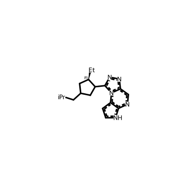 CC[C@@H]1CC(CC(C)C)CC1c1nnc2cnc3[nH]ccc3n12